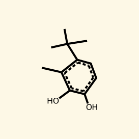 Cc1c(C(C)(C)C)ccc(O)c1O